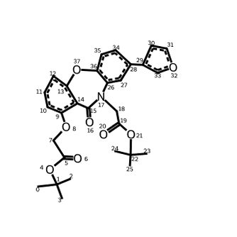 CC(C)(C)OC(=O)COc1cccc2c1C(=O)N(CC(=O)OC(C)(C)C)c1cc(-c3ccoc3)ccc1O2